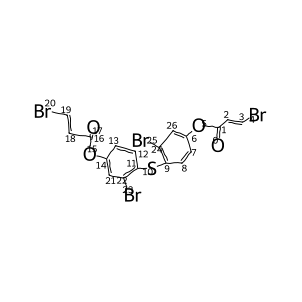 O=C(C=CBr)Oc1ccc(Sc2ccc(OC(=O)C=CBr)cc2Br)c(Br)c1